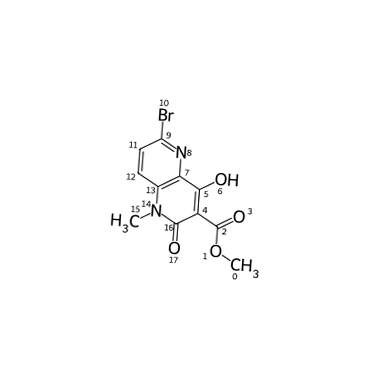 COC(=O)c1c(O)c2nc(Br)ccc2n(C)c1=O